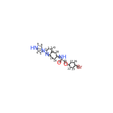 Cc1cc(N2CC3CC2CN3)nc2ccc(NC(=O)COc3ccc(Br)cc3)cc12